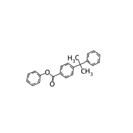 CC(C)(c1ccccc1)c1ccc(C(=O)Oc2ccccc2)cc1